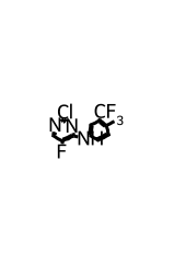 Cc1ccc(Nc2nc(Cl)ncc2F)cc1C(F)(F)F